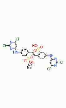 O=S(=O)(O)c1cc(Nc2cc(Cl)nc(Cl)n2)ccc1C=Cc1ccc(Nc2cc(Cl)nc(Cl)n2)cc1S(=O)(=O)O.[Na].[Na]